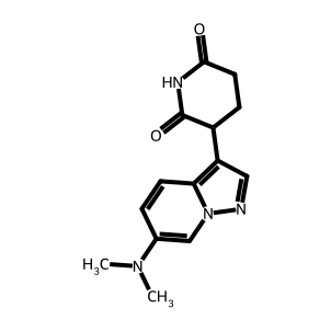 CN(C)c1ccc2c(C3CCC(=O)NC3=O)cnn2c1